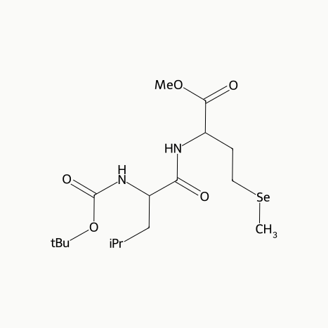 COC(=O)C(CC[Se]C)NC(=O)C(CC(C)C)NC(=O)OC(C)(C)C